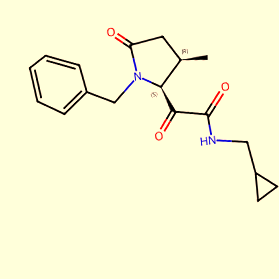 C[C@@H]1CC(=O)N(Cc2ccccc2)[C@@H]1C(=O)C(=O)NCC1CC1